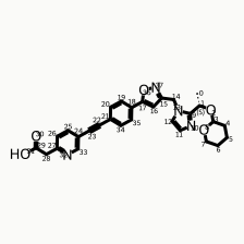 C[C@H](OC1CCCCO1)c1nccn1Cc1cc(-c2ccc(C#Cc3ccc(CC(=O)O)nc3)cc2)on1